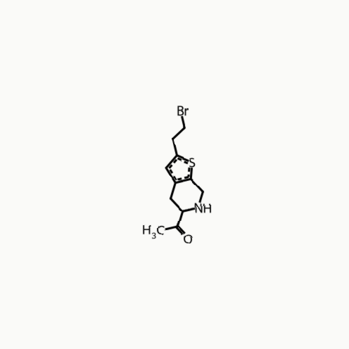 CC(=O)C1Cc2cc(CCBr)sc2CN1